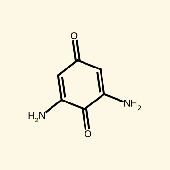 NC1=CC(=O)C=C(N)C1=O